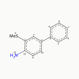 CSc1cc(-c2ccccc2)ccc1N